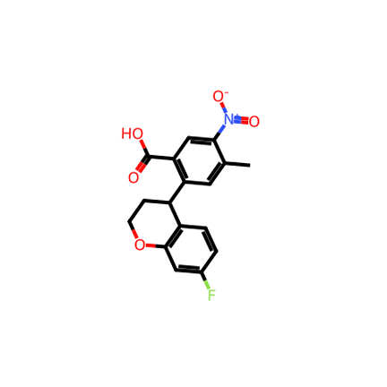 Cc1cc(C2CCOc3cc(F)ccc32)c(C(=O)O)cc1[N+](=O)[O-]